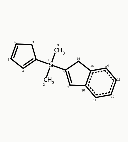 C[Si](C)(C1=CC=CC1)C1=Cc2ccccc2C1